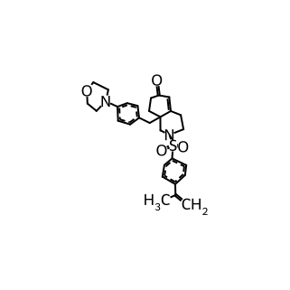 C=C(C)c1ccc(S(=O)(=O)N2CCC3=CC(=O)CCC3(Cc3ccc(N4CCOCC4)cc3)C2)cc1